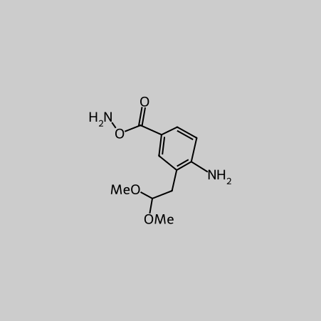 COC(Cc1cc(C(=O)ON)ccc1N)OC